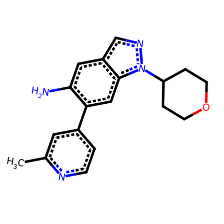 Cc1cc(-c2cc3c(cnn3C3CCOCC3)cc2N)ccn1